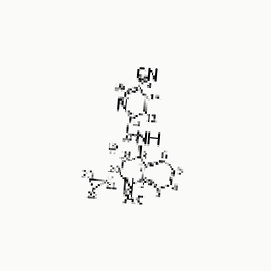 CC(=O)N1c2ccccc2[C@H](NCc2ccc(C#N)cn2)[C@@H](C)[C@H]1C1CC1